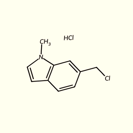 Cl.Cn1ccc2ccc(CCl)cc21